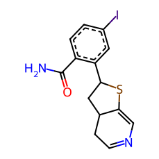 NC(=O)c1ccc(I)cc1C1CC2CC=NC=C2S1